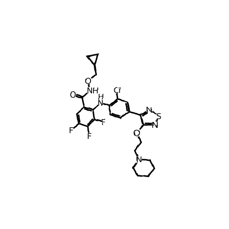 O=C(NOCC1CC1)c1cc(F)c(F)c(F)c1Nc1ccc(-c2nsnc2OCCN2CCCCC2)cc1Cl